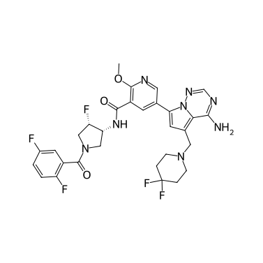 COc1ncc(-c2cc(CN3CCC(F)(F)CC3)c3c(N)ncnn23)cc1C(=O)N[C@@H]1CN(C(=O)c2cc(F)ccc2F)C[C@@H]1F